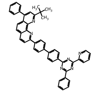 CC(C)(C)c1cc(-c2ccccc2)c2ccc3ccc(-c4ccc(-c5ccc(-c6nc(-c7ccccc7)nc(-c7ccccn7)n6)cc5)cc4)nc3c2n1